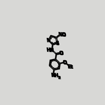 CCOc1cc(N)ccc1C(=O)Nc1ncc(N=O)s1